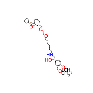 CC1(C)OCc2cc([C@@H](O)CNCCCCCCOCCOCc3cccc([S+]([O-])C4CCCC4)c3)ccc2O1